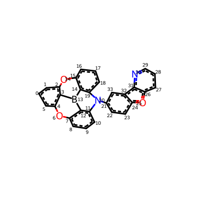 c1cc2c3c(c1)Oc1cccc4c1B3c1c(cccc1N4c1ccc3oc4cccnc4c3c1)O2